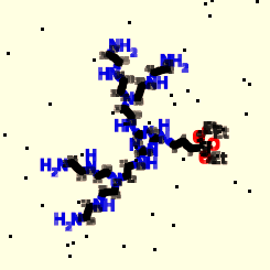 CCO[Si](CCCNc1nc(NCCN(CCNCCN)CCNCCN)nc(NCCN(CCNCCN)CCNCCN)n1)(OCC)OCC